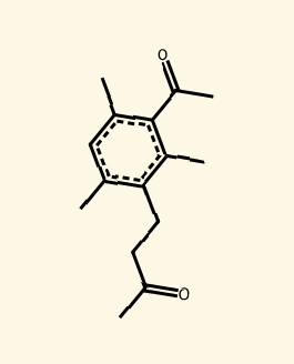 CC(=O)CCc1c(C)cc(C)c(C(C)=O)c1C